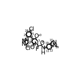 COc1cn(C(F)C(=O)Nc2ccc3c(cnn3C)c2)c(=O)cc1-c1cc(Cl)ccc1-n1cc(Cl)nn1